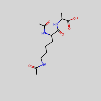 CC(=O)NCCCCC(NC(C)=O)C(=O)NC(C)C(=O)O